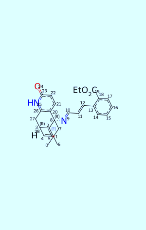 C/C=C1\[C@H]2C=C(C)C[C@]1(N=CC=Cc1ccccc1C(=O)OCC)c1ccc(=O)[nH]c1C2